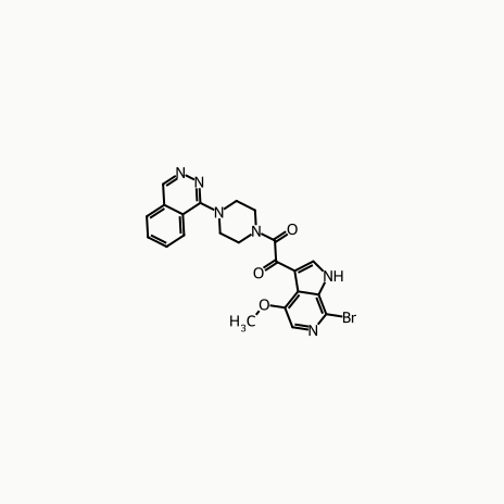 COc1cnc(Br)c2[nH]cc(C(=O)C(=O)N3CCN(c4nncc5ccccc45)CC3)c12